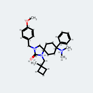 COc1ccc(CN2CC3(CCC(c4ccccc4)(N(C)C)CC3)N(CC3(C)CCC3)C2=O)cc1